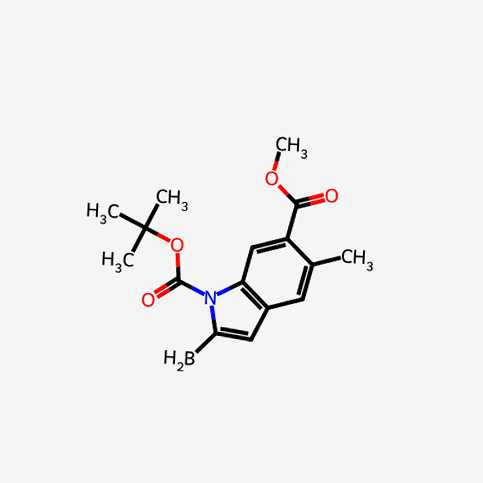 Bc1cc2cc(C)c(C(=O)OC)cc2n1C(=O)OC(C)(C)C